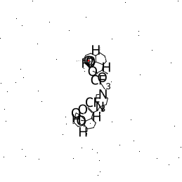 C[C@@H]1CC[C@H]2[C@@H](C)[C@](OCCN3CCN(CC4=C(C(F)(F)F)O[C@@H]5O[C@]6(C)CC[C@H]7[C@H](C)CC[C@@H]4[C@@]57O6)CC3)(C(F)(F)F)O[C@@H]3O[C@]4(C)CC[C@@H]1[C@]32OO4